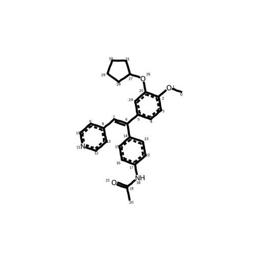 COc1ccc(C(=Cc2ccncc2)c2ccc(NC(C)=O)cc2)cc1OC1CCCC1